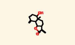 C=C1C(=O)OC2C1CCC1(C)C(O)CCC(=C)C21